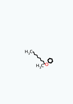 CCCCCCCCC(C)Oc1ccccc1